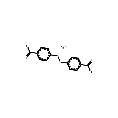 O=C([O-])c1ccc(SSc2ccc(C(=O)[O-])cc2)cc1.[Ni+2]